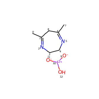 CC1=NCCN=C(C)C1.[O-][I+2]([O-])O